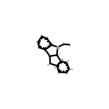 CCN1c2ccccc2C2Cc3ccccc3C21